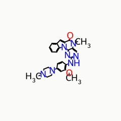 COc1cc(N2CCN(C)CC2)ccc1Nc1ncc2c(n1)n1c(cc3ccccc31)c(=O)n2C